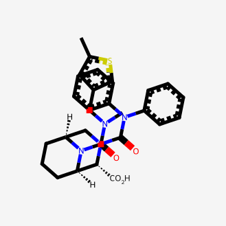 Cc1cc(CN(C)C(=O)N2[C@H]3CCC[C@@H]2[C@@H](C(=O)O)N(C(=O)N(c2ccccc2)c2ccccc2)C3)cs1